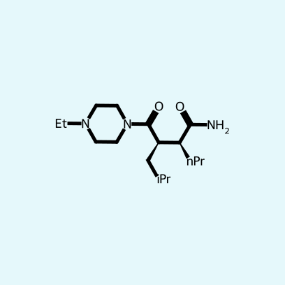 CCC[C@H](C(N)=O)[C@@H](CC(C)C)C(=O)N1CCN(CC)CC1